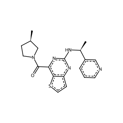 C[C@@H]1CCN(C(=O)c2nc(N[C@@H](C)c3cccnc3)nc3ccsc23)C1